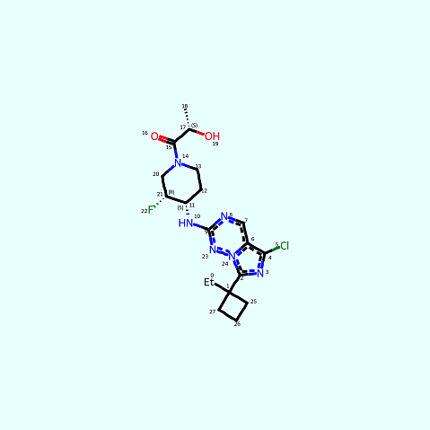 CCC1(c2nc(Cl)c3cnc(N[C@H]4CCN(C(=O)[C@H](C)O)C[C@H]4F)nn23)CCC1